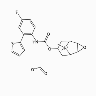 C[N+]1(C)C2CC(OC(=O)Nc3ccc(F)cc3-c3cccs3)CC1C1OC12.O=C[O-]